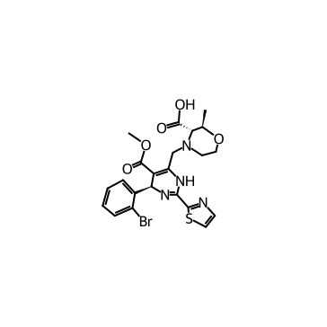 COC(=O)C1=C(CN2CCO[C@H](C)[C@H]2C(=O)O)NC(c2nccs2)=N[C@H]1c1ccccc1Br